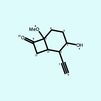 C#CC1C(O)CCC2(OC)C(=O)CC12